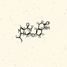 CC(C)c1ncc2c(=O)n(C)c(Oc3ccc4c(c3)CCC(=O)N4)cn12